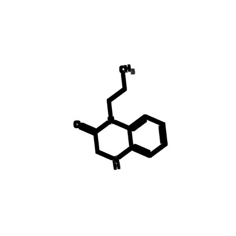 CCCN1C(=O)CNc2ccccc21